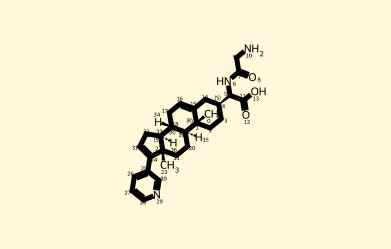 C[C@]12CC[C@H](C(NC(=O)CN)C(=O)O)CC1=CC[C@@H]1[C@@H]2CC[C@]2(C)C(c3cccnc3)=CC[C@@H]12